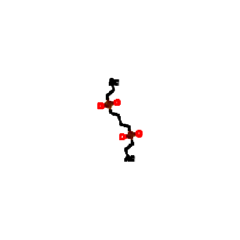 CC(=O)CCS(=O)(=O)CCCCS(=O)(=O)CCC(C)=O